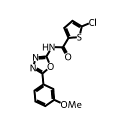 COc1cccc(-c2nnc(NC(=O)c3ccc(Cl)s3)o2)c1